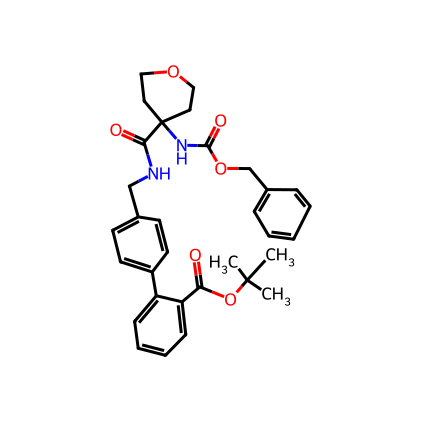 CC(C)(C)OC(=O)c1ccccc1-c1ccc(CNC(=O)C2(NC(=O)OCc3ccccc3)CCOCC2)cc1